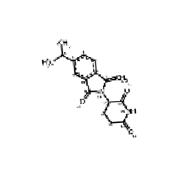 C=C1c2ccc(C(C)C)cc2C(=O)N1C1CCC(=O)NC1=O